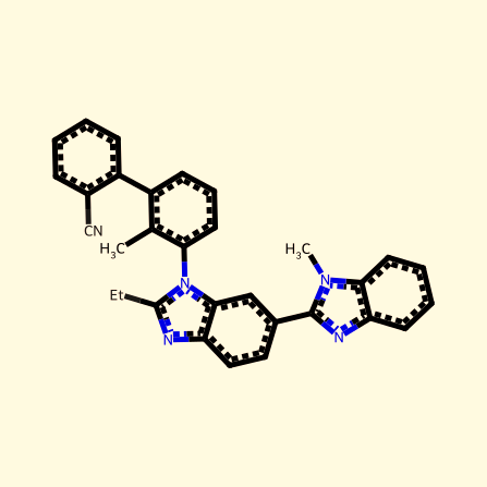 CCc1nc2ccc(-c3nc4ccccc4n3C)cc2n1-c1cccc(-c2ccccc2C#N)c1C